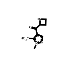 Cn1ncc(C(=O)C2CCN2)c1C(=O)O